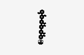 CCc1ccccc1-c1ccc(-c2ccc(-c3ccc(-c4ccc(-c5ccc(B6OC(C)(C)C(C)(C)O6)cc5CC)c(CC)c4)cc3CC)c(CC)c2)cc1CC